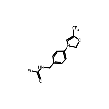 CCC(=O)NCc1ccc(N2C=C(C(F)(F)F)OC2)cc1